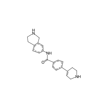 O=C(Nc1ccc2c(c1)CNCC2)c1ccc(C2=CCNCC2)cc1